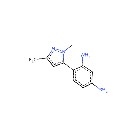 Cn1nc(C(F)(F)F)cc1-c1ccc(N)cc1N